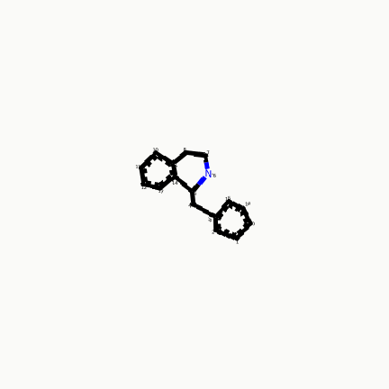 c1ccc(CC2[N]CCc3ccccc32)cc1